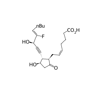 CCCC/C=C(\F)[C@H](O)C#C[C@H]1[C@H](O)CC(=O)[C@@H]1C/C=C\CCCC(=O)O